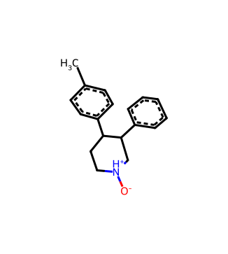 Cc1ccc(C2CC[NH+]([O-])CC2c2ccccc2)cc1